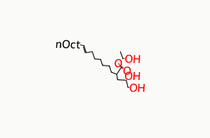 CCCCCCCCC=CCCCCCCC(CC(O)CO)C(=O)OC(C)O